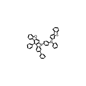 c1ccc(-c2ccc3c4c(-c5ccccc5)c5c(cc4n(-c4ccc(N(c6ccccc6)c6ccc7c(c6)sc6ccccc67)cc4)c3c2)oc2ccccc25)cc1